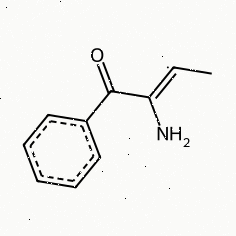 C[C]=C(N)C(=O)c1ccccc1